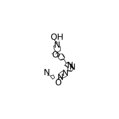 CN=C[C@H]1C[C@H](C(=O)N2CCN(c3ccnn4cc(-c5ccc(C6(OC)CCN([C@@H](C)CO)CC6)cc5)cc34)CC2)C1